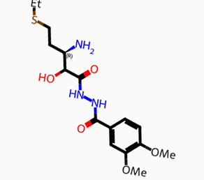 CCSCC[C@@H](N)C(O)C(=O)NNC(=O)c1ccc(OC)c(OC)c1